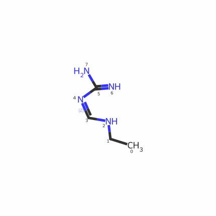 CCN/C=N\C(=N)N